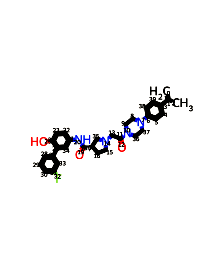 C=C(C)c1ccc(N2CCN(C(=O)CN3CC[C@@H](C(=O)Nc4ccc(O)c(-c5cccc(F)c5)c4)C3)CC2)cc1